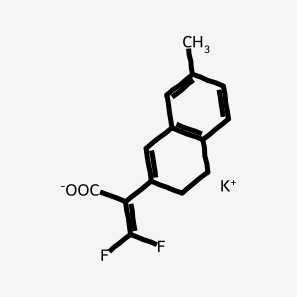 Cc1ccc2c(c1)C=C(C(C(=O)[O-])=C(F)F)CC2.[K+]